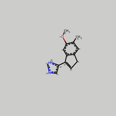 COc1cc2c(cc1C)CC=C2c1cnc[nH]1